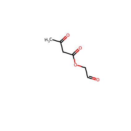 CC(=O)CC(=O)OCC=O